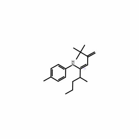 C=C(/C=C(\Nc1ccc(C)cc1)C(C)CCC)C(C)(C)C